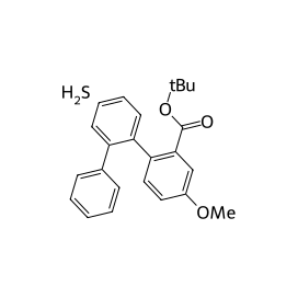 COc1ccc(-c2ccccc2-c2ccccc2)c(C(=O)OC(C)(C)C)c1.S